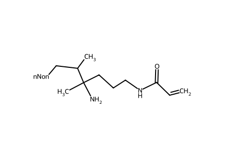 C=CC(=O)NCCCC(C)(N)C(C)CCCCCCCCCC